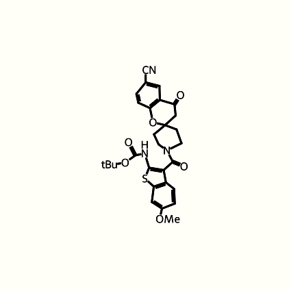 COc1ccc2c(C(=O)N3CCC4(CC3)CC(=O)c3cc(C#N)ccc3O4)c(NC(=O)OC(C)(C)C)sc2c1